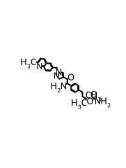 Cc1ccc2cc(Cn3cc(C(=O)C(N)c4ccc(CCC(C)(C)OC(N)=O)cc4)cn3)ccc2n1